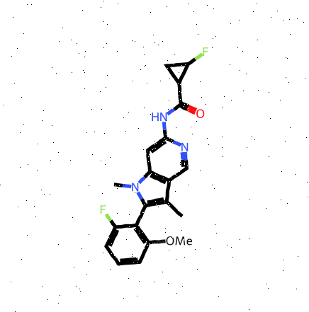 COc1cccc(F)c1-c1c(C)c2cnc(NC(=O)C3CC3F)cc2n1C